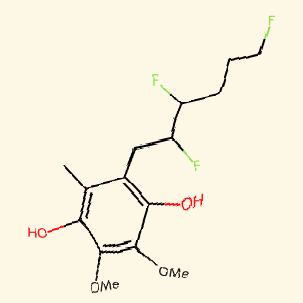 COc1c(O)c(C)c(CC(F)C(F)CCCF)c(O)c1OC